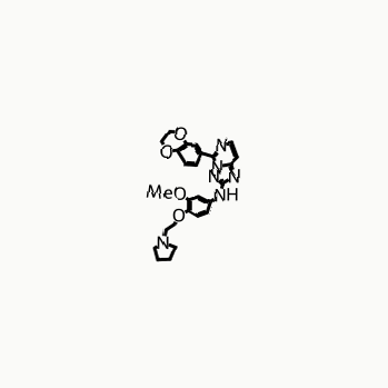 COc1cc(Nc2nc3ccnc(-c4ccc5c(c4)OCCO5)n3n2)ccc1OCCN1CCCC1